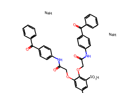 O=C(COc1cc(S(=O)(=O)O)cc(S(=O)(=O)O)c1OCC(=O)Nc1ccc(C(=O)c2ccccc2)cc1)Nc1ccc(C(=O)c2ccccc2)cc1.[NaH].[NaH]